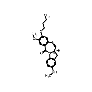 CCCCOc1cc2c(cc1OC)C(=O)N1c3ccc(NC)cc3C[C@H]1C=N2